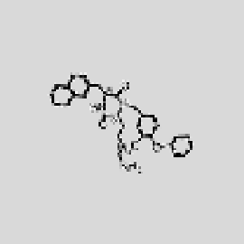 Cc1cc(CN2C(=O)[C@H](Cc3ccc4ccccc4c3)NC(=O)[C@@H]2CCCCN)ccc1Oc1ccccc1